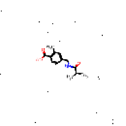 Cc1cc(CNC(=O)C(C)C)ccc1C(=O)O